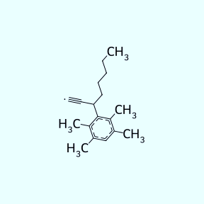 [C]#CC(CCCCC)c1c(C)c(C)cc(C)c1C